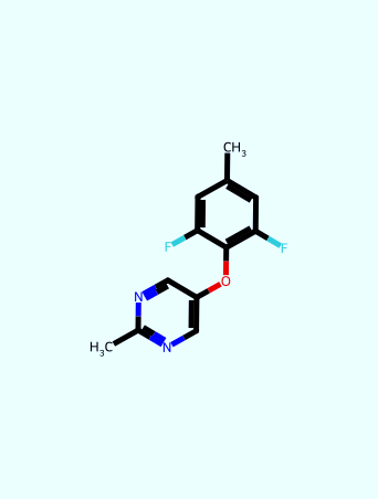 Cc1cc(F)c(Oc2cnc(C)nc2)c(F)c1